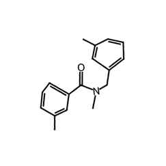 Cc1cccc(CN(C)C(=O)c2cccc(C)c2)c1